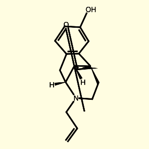 C=CCN1CC[C@]23CCC(=O)C[C@H]2[C@H]1Cc1ccc(O)cc13